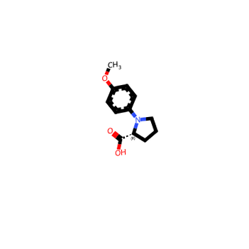 COc1ccc(N2CCC[C@@H]2C(=O)O)cc1